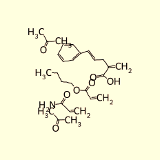 C=C(CC=Cc1ccccc1)C(=O)O.C=CC(=O)OCCCC.C=CC(N)=O.CC(C)=O.CC(C)=O